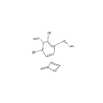 CCCOc1ccc(C(C)C)c(O)c1O.O=C1C=CO1